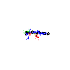 Cc1[nH]c(C(=O)N[C@@H]2CCN(c3nc(-c4cnc(N5CCN(CC6CCCCC6)CC5)cn4)c(C(=O)O)s3)C[C@@H]2C)c(Cl)c1Cl